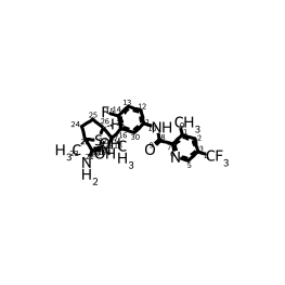 Cc1cc(C(F)(F)F)cnc1C(=O)Nc1ccc(F)c([C@@]2(C)N=C(N)[C@@]3(C)CC[C@@H]2S3(O)O)c1